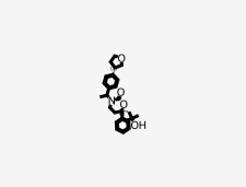 CC(c1ccc([C@@H]2CCOC2)cc1)N1CC[C@](CC(C)(C)O)(c2ccccc2)OC1=O